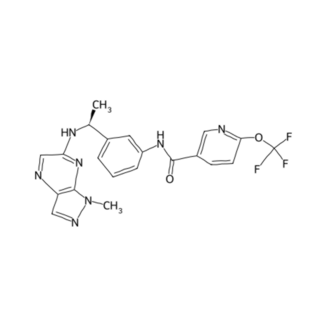 C[C@H](Nc1cnc2cnn(C)c2n1)c1cccc(NC(=O)c2ccc(OC(F)(F)F)nc2)c1